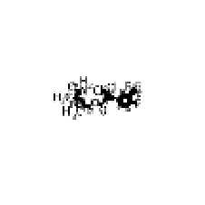 CC(COC(=O)[C@H]1[C@H](c2ccc(F)c(C(F)(F)F)c2)C1(Cl)Cl)C[C@@](C)(N)C(N)=O